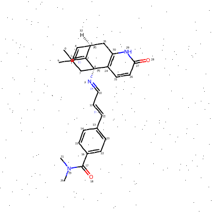 C/C=C1\[C@H]2C=C(C)C[C@]1(/N=C/C=C/c1ccc(C(=O)N(C)C)cc1)c1ccc(=O)[nH]c1C2